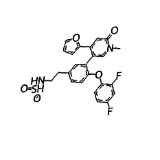 Cn1cc(-c2cc(CCN[SH](=O)=O)ccc2Oc2ccc(F)cc2F)c(-c2ccco2)cc1=O